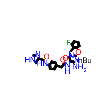 CCCCn1c(N)c(NC(=O)Cc2ccc(NC(=O)c3c[nH]cn3)cc2)c(=O)n(Cc2ccccc2F)c1=O